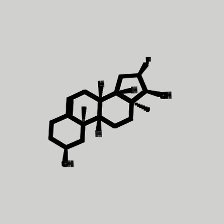 C[C@]12CC[C@H]3[C@@H](CC=C4CC[C@H](O)C[C@@]43C)[C@@H]1C[C@@H](F)[C@H]2O